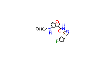 O=CCCNc1ccc2occ(C(=O)Nc3ncc(Cc4ccc(F)cc4)s3)c2c1